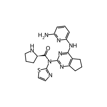 Nc1cccc(Nc2nc(N(C(=O)[C@H]3CCCN3)c3nccs3)nc3c2CCC3)n1